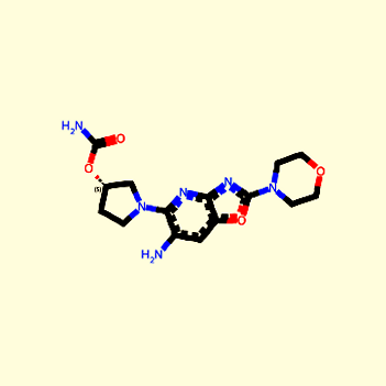 NC(=O)O[C@H]1CCN(c2nc3nc(N4CCOCC4)oc3cc2N)C1